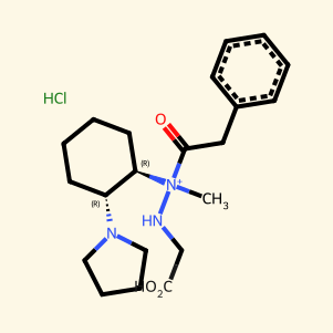 C[N+](NCC(=O)O)(C(=O)Cc1ccccc1)[C@@H]1CCCC[C@H]1N1CCCC1.Cl